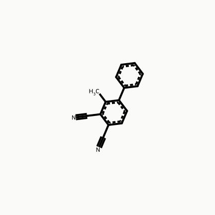 Cc1c(-c2ccccc2)ccc(C#N)c1C#N